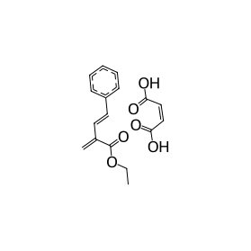 C=C(C=Cc1ccccc1)C(=O)OCC.O=C(O)/C=C\C(=O)O